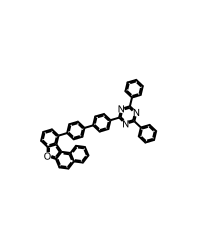 c1ccc(-c2nc(-c3ccccc3)nc(-c3ccc(-c4ccc(-c5cccc6oc7ccc8ccccc8c7c56)cc4)cc3)n2)cc1